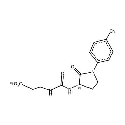 CCOC(=O)CCNC(=O)N[C@H]1CCN(c2ccc(C#N)cc2)C1=O